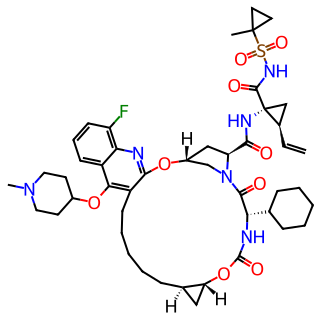 C=C[C@@H]1C[C@]1(NC(=O)[C@@H]1C[C@@H]2CN1C(=O)[C@H](C1CCCCC1)NC(=O)O[C@@H]1C[C@H]1CCCCCc1c(nc3c(F)cccc3c1OC1CCN(C)CC1)O2)C(=O)NS(=O)(=O)C1(C)CC1